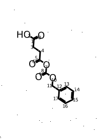 O=C(O)CCC(=O)OC(=O)OCc1ccccc1